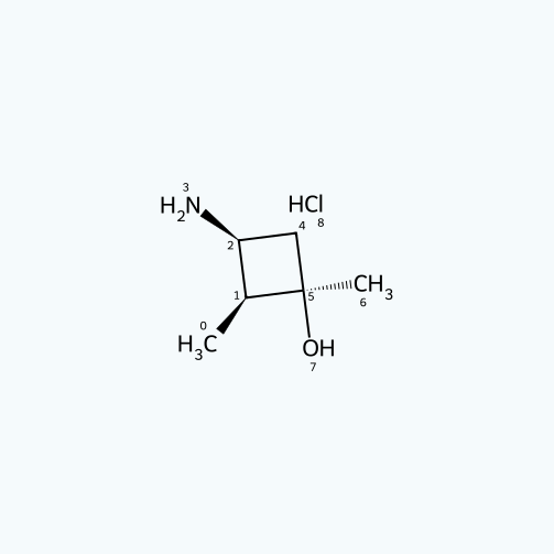 C[C@H]1[C@@H](N)C[C@@]1(C)O.Cl